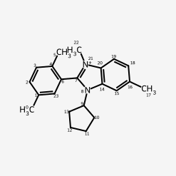 Cc1ccc(C)c(-c2n(C3CCCC3)c3cc(C)ccc3[n+]2C)c1